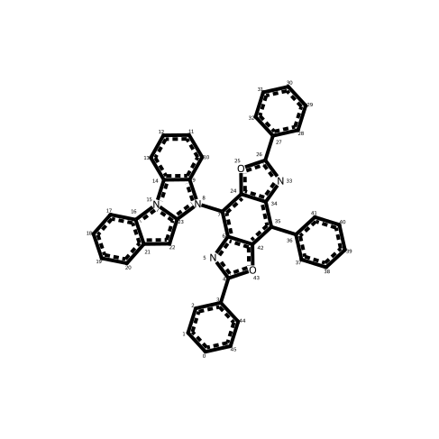 c1ccc(-c2nc3c(-n4c5ccccc5n5c6ccccc6cc45)c4oc(-c5ccccc5)nc4c(-c4ccccc4)c3o2)cc1